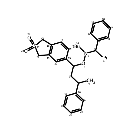 CC(CC(ON(C(c1ccccc1)C(C)C)C(C)(C)C)c1ccc2c(c1)CS(=O)(=O)C2)c1ccccc1